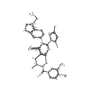 Cc1cc(C)n(-c2nc3c(c(=O)n2-c2ccc4c(c2)ncn4CC(F)(F)F)CC(C)N(C(=O)c2ccc(Br)c(C(F)(F)F)c2)C3)n1